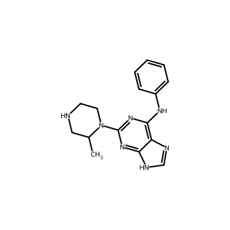 CC1CNCCN1c1nc(Nc2ccccc2)c2nc[nH]c2n1